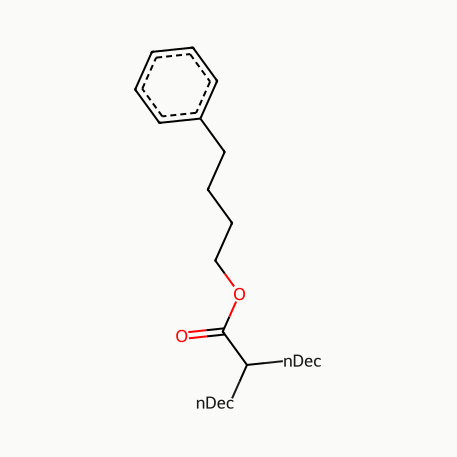 CCCCCCCCCCC(CCCCCCCCCC)C(=O)OCCCCc1ccccc1